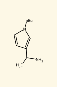 CCCCn1ccc(C(C)N)c1